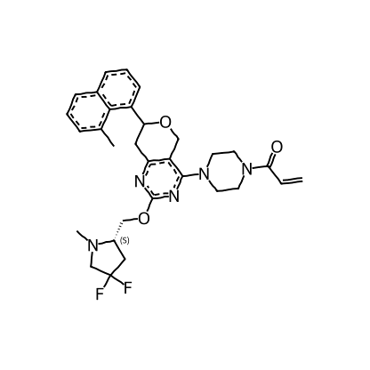 C=CC(=O)N1CCN(c2nc(OC[C@@H]3CC(F)(F)CN3C)nc3c2COC(c2cccc4cccc(C)c24)C3)CC1